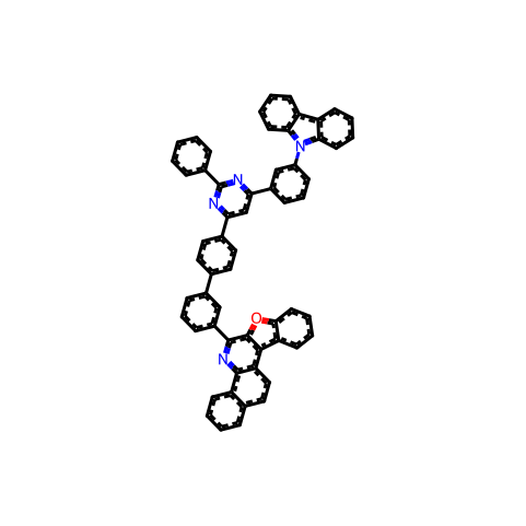 c1ccc(-c2nc(-c3ccc(-c4cccc(-c5nc6c7ccccc7ccc6c6c5oc5ccccc56)c4)cc3)cc(-c3cccc(-n4c5ccccc5c5ccccc54)c3)n2)cc1